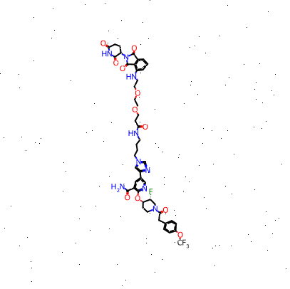 NC(=O)c1cc(-c2cn(CCCCNC(=O)CCOCCOCCNc3cccc4c3C(=O)N(C3CCC(=O)NC3=O)C4=O)cn2)cnc1O[C@@H]1CCN(C(=O)Cc2ccc(OC(F)(F)F)cc2)C[C@H]1F